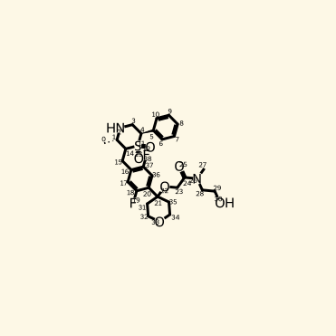 C[C@@H]1NC[C@@H](c2ccccc2)S(=O)(=O)C1Cc1cc(F)c(C2(OCC(=O)N(C)CCO)CCOCC2)cc1F